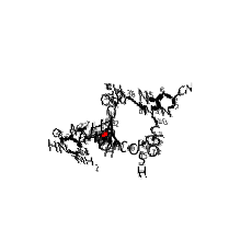 N#Cc1cnc2c(c1)nc1n2CCOP(=O)(S)OC[C@H]2O[C@@H](n3cnc4c(=O)[nH]c(N)nc43)[C@H](OP(=O)(S)OC1)[C@@H]2O